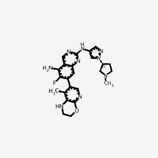 Cc1c(-c2cc3nc(Nc4cnn([C@H]5CCN(C)C5)c4)ncc3c(N)c2F)cnc2c1NCCO2